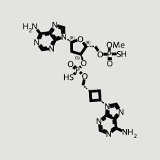 COP(=O)(S)OC[C@H]1O[C@@H](n2cnc3c(N)ncnc32)C[C@@H]1OP(=O)(S)OC[C@H]1C[C@@H](n2cnc3c(N)ncnc32)C1